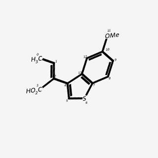 CC=C(C(=O)O)c1csc2ccc(OC)cc12